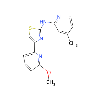 COc1cccc(-c2csc(Nc3cc(C)ccn3)n2)n1